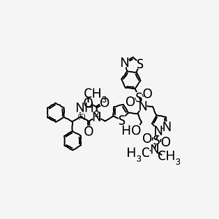 COC(=O)N(Cc1ccc(C(CO)N(Cc2cnn(S(=O)(=O)N(C)C)c2)S(=O)(=O)c2ccc3ncsc3c2)s1)C(=O)[C@@H](N)C(c1ccccc1)c1ccccc1